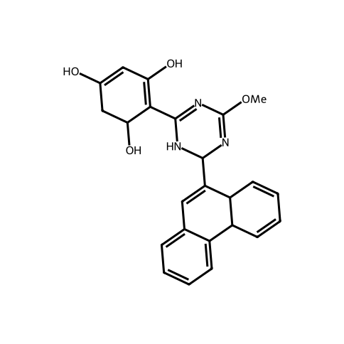 COC1=NC(C2=Cc3ccccc3C3C=CC=CC23)NC(C2=C(O)C=C(O)CC2O)=N1